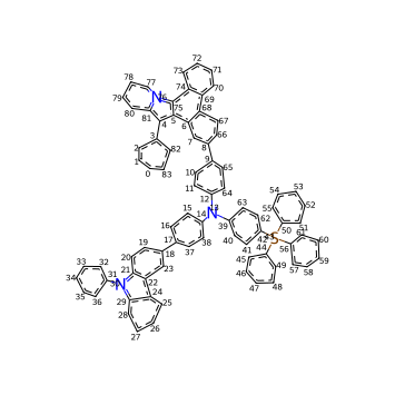 c1ccc(-c2c3c4cc(-c5ccc(N(c6ccc(-c7ccc8c(c7)c7ccccc7n8-c7ccccc7)cc6)c6ccc(S(c7ccccc7)(c7ccccc7)c7ccccc7)cc6)cc5)ccc4c4ccccc4c3n3ccccc23)cc1